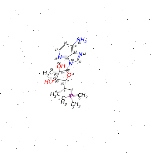 C=P(C)(C)CC(C)[C@H]1O[C@@H](n2cnc3c(N)ccnc32)[C@](C)(O)[C@@H]1O